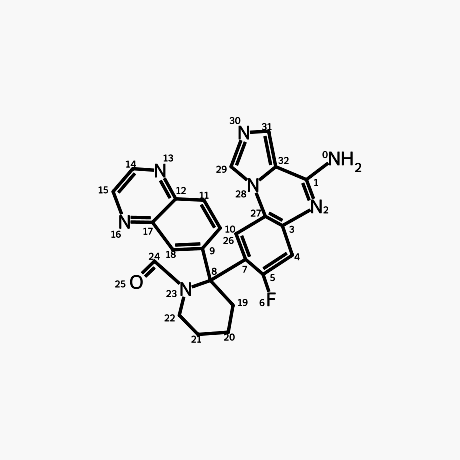 Nc1nc2cc(F)c(C3(c4ccc5nccnc5c4)CCCCN3C=O)cc2n2cncc12